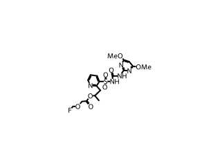 COc1cc(OC)nc(NC(=O)NS(=O)(=O)c2cccnc2CC(C)OC(=O)COCF)n1